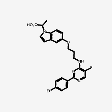 CCc1ccc(-c2ncc(F)c(NCCCOc3ccc4c(ccn4C(C)C(=O)O)c3)n2)cc1